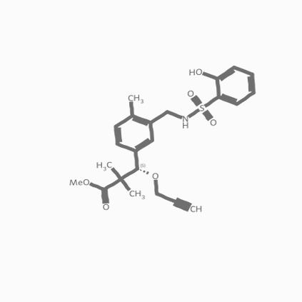 C#CCO[C@@H](c1ccc(C)c(CNS(=O)(=O)c2ccccc2O)c1)C(C)(C)C(=O)OC